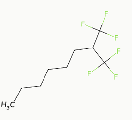 CCCCCCC(C(F)(F)F)C(F)(F)F